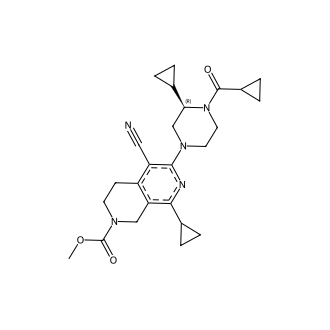 COC(=O)N1CCc2c(C#N)c(N3CCN(C(=O)C4CC4)[C@H](C4CC4)C3)nc(C3CC3)c2C1